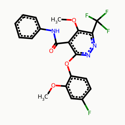 COc1cc(F)ccc1Oc1nnc(C(F)(F)F)c(OC)c1C(=O)Nc1c[c]ccc1